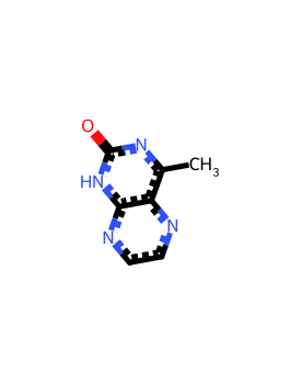 Cc1nc(=O)[nH]c2nccnc12